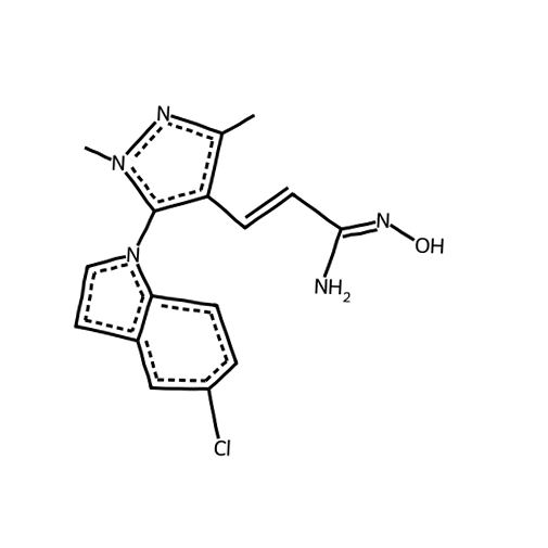 Cc1nn(C)c(-n2ccc3cc(Cl)ccc32)c1/C=C/C(N)=N/O